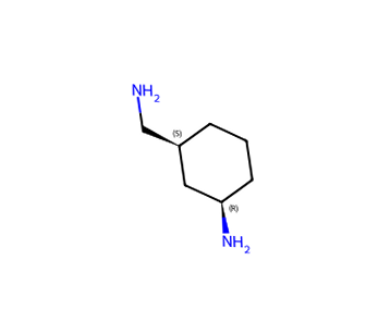 NC[C@H]1CCC[C@@H](N)C1